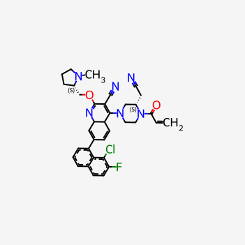 C=CC(=O)N1CCN(C2=C(C#N)C(OC[C@@H]3CCCN3C)=NC3C=C(c4cccc5ccc(F)c(Cl)c45)C=CC23)C[C@@H]1CC#N